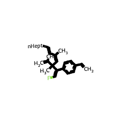 C=Cc1ccc(/C(=C/F)C(C)(/C=C(C)\C=C\CCCCCCC)C(=C)C)cc1